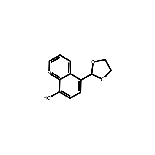 Oc1ccc(C2OCCO2)c2cccnc12